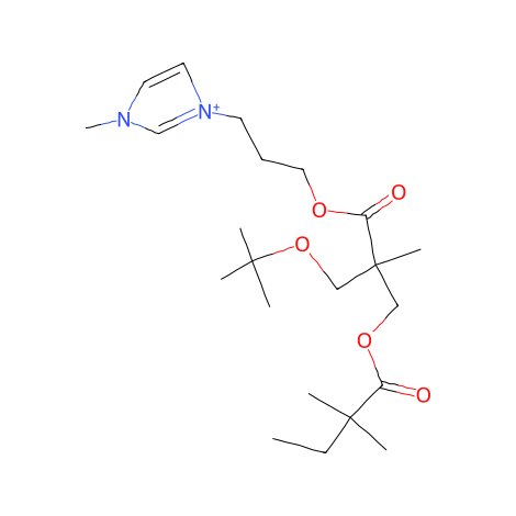 CCC(C)(C)C(=O)OCC(C)(COC(C)(C)C)C(=O)OCCC[n+]1ccn(C)c1